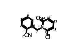 N#Cc1ccccc1Cn1c(Cl)cccc1=O